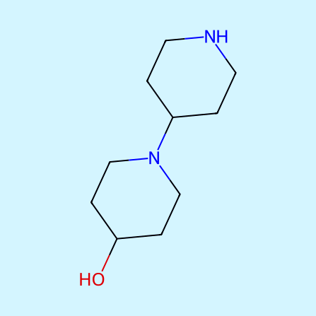 OC1CCN(C2CCNCC2)CC1